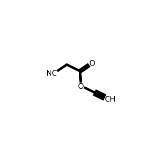 C#COC(=O)CC#N